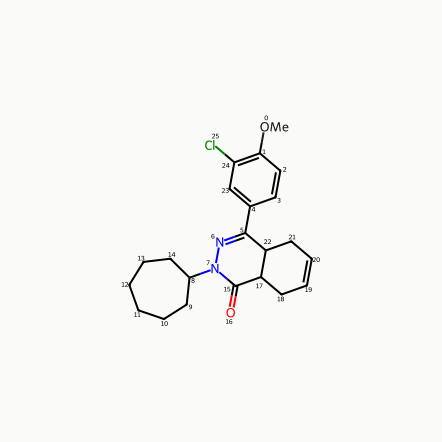 COc1ccc(C2=NN(C3CCCCCC3)C(=O)C3CC=CCC23)cc1Cl